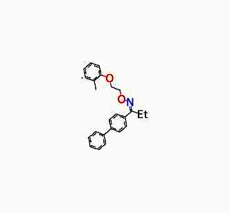 CCC(=NOCCOc1ccc[c]c1C)c1ccc(-c2ccccc2)cc1